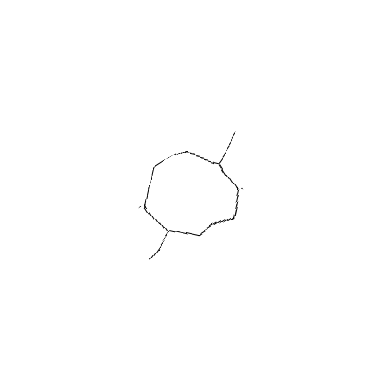 CC1[CH]CCC(C)[CH]CC1